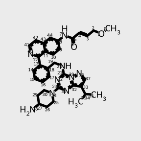 COC/C=C/C(=O)Nc1ccc2c(-c3ccccc3CNc3nc(N4CCC(N)CC4)nc4c(C(C)C)cnn34)nccc2c1